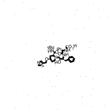 CC(C)[C@H](NC(=O)O)C(=O)N[C@@H](Cc1ccccc1)[C@@H](O)CN1CC[C@@H](OCc2cncs2)C[C@H]1C(=O)NC(C)(C)C